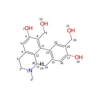 CN1CCc2cc(O)c(CO)c3c2[C@H]1Cc1cc(O)c(CO)cc1-3